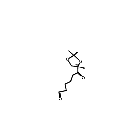 CC1(C)OC[C@@](C)(C(=O)CCCCC=O)O1